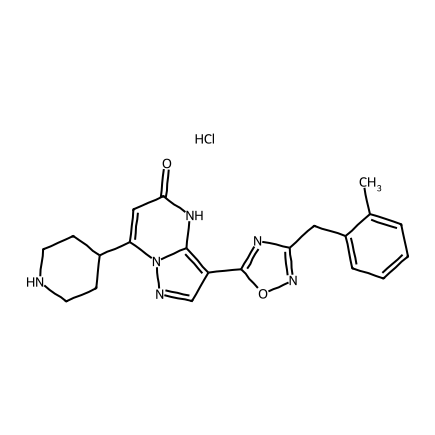 Cc1ccccc1Cc1noc(-c2cnn3c(C4CCNCC4)cc(=O)[nH]c23)n1.Cl